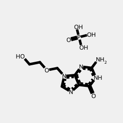 Nc1nc2c(ncn2COCCO)c(=O)[nH]1.O=P(O)(O)O